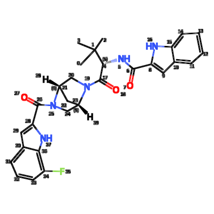 CC(C)(C)[C@H](NC(=O)c1cc2ccccc2[nH]1)C(=O)N1C[C@@H]2C[C@H]1CN2C(=O)c1cc2cccc(F)c2[nH]1